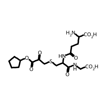 NC(CCC(=O)NC(CSCC(=O)C(=O)OC1CCCC1)C(=O)NCC(=O)O)C(=O)O